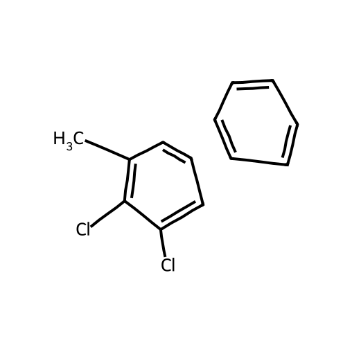 Cc1cccc(Cl)c1Cl.c1ccccc1